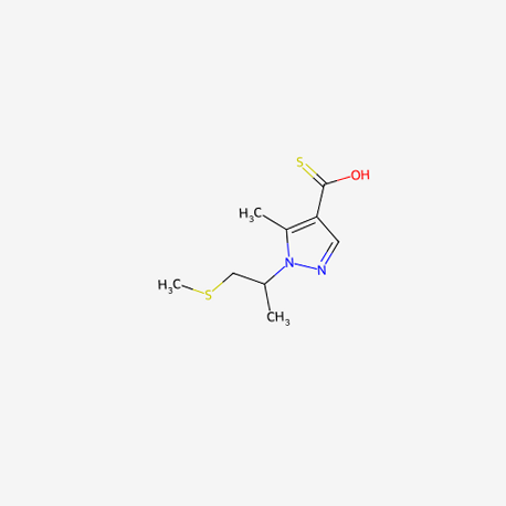 CSCC(C)n1ncc(C(O)=S)c1C